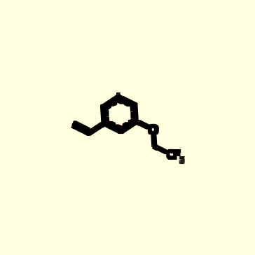 C=Cc1c[c]cc(OCC(F)(F)F)c1